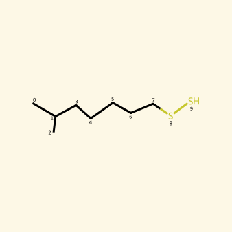 CC(C)CCCCCSS